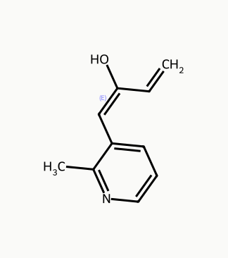 C=C/C(O)=C\c1cccnc1C